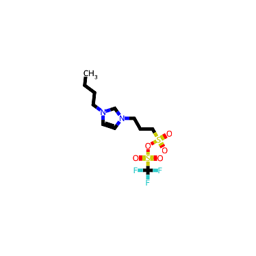 CCCCN1C=CN(CCCS(=O)(=O)OS(=O)(=O)C(F)(F)F)C1